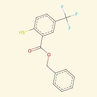 O=C(OCc1ccccc1)c1cc(C(F)(F)F)ccc1S